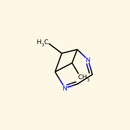 CC1C2N=CC=NC1C2C